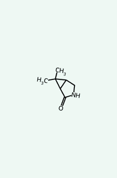 CC1(C)C2CNC(=O)C21